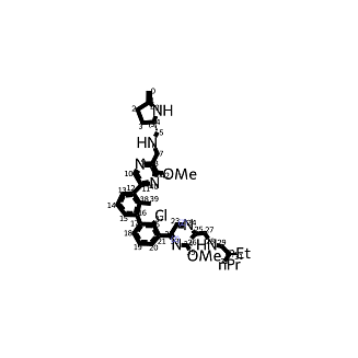 C=C1CC[C@@H](CNCc2ncc(-c3cccc(-c4cccc(C(/C=N\C(C)CNC[C@@H](CC)CCC)=N/COC)c4Cl)c3C)nc2OC)N1